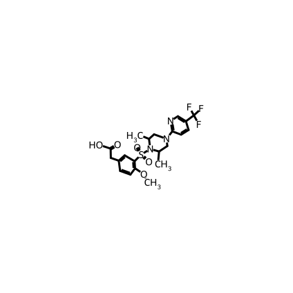 COc1ccc(CC(=O)O)cc1S(=O)(=O)N1C(C)CN(c2ccc(C(F)(F)F)cn2)CC1C